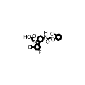 O=C(O)Cn1c2c(c3cc(F)cc(Cl)c31)C[C@H](NC(=O)COc1ccccc1Cl)CC2